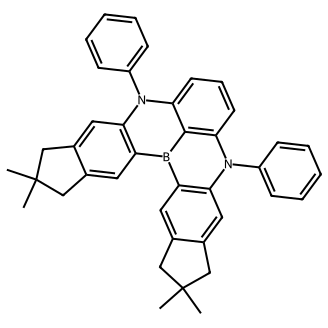 CC1(C)Cc2cc3c(cc2C1)N(c1ccccc1)c1cccc2c1B3c1cc3c(cc1N2c1ccccc1)CC(C)(C)C3